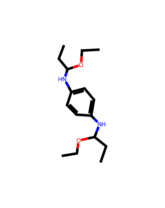 CCOC(CC)Nc1ccc(NC(CC)OCC)cc1